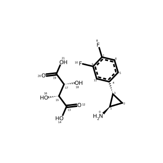 N[C@@H]1C[C@H]1c1ccc(F)c(F)c1.O=C(O)[C@H](O)[C@@H](O)C(=O)O